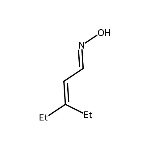 CCC(=CC=NO)CC